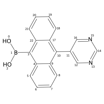 OB(O)c1c2ccccc2c(-c2cncnc2)c2ccccc12